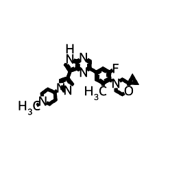 Cc1cc(-c2cnc3[nH]cc(-c4cnn(C5CCN(C)CC5)c4)c3n2)cc(F)c1N1CCOC2(CC2)C1